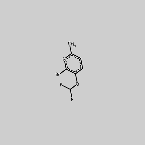 Cc1ccc(OC(F)F)c(Br)n1